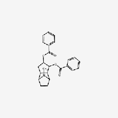 CN1C2CCC1C1C2CC(OC(=O)c2ccccc2)C1OC(=O)c1ccccc1